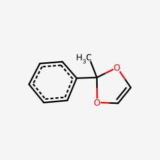 CC1(c2ccccc2)OC=CO1